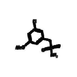 COc1cc(Cl)cc(CS(N)(=O)=O)c1